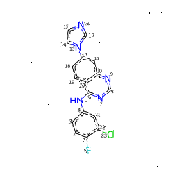 Fc1ccc(Nc2ncnc3cc(-n4ccnc4)ccc23)cc1Cl